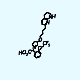 O=C(O)C(c1ccccc1OCC(F)(F)F)N1CCC(OCCCCc2ccc3c(n2)NCCC3)C1